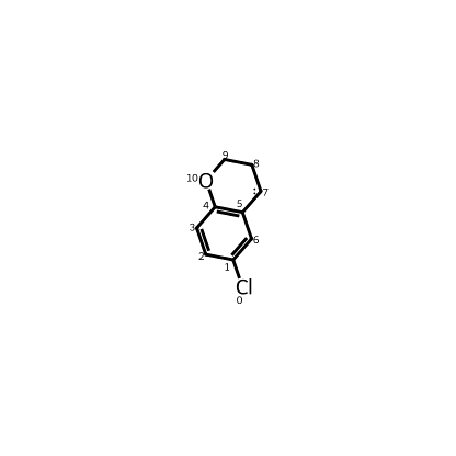 Clc1ccc2c(c1)[C]CCO2